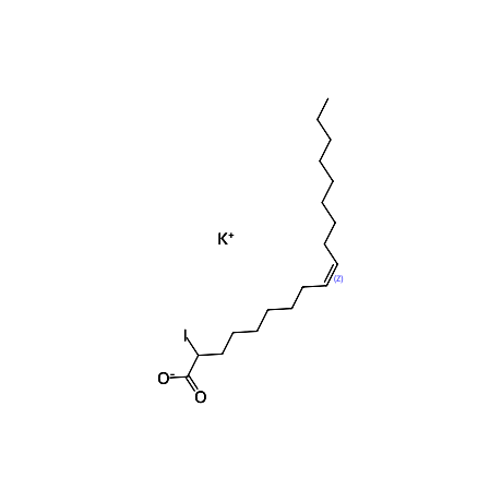 CCCCCCCC/C=C\CCCCCCC(I)C(=O)[O-].[K+]